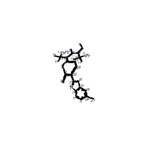 C=C1CC(/C(=C(C)\C(=C/C)C(C)(C)CCC)C(C)(C)CCC)=CC=C1C1=Nc2ccc(C)cc2C1